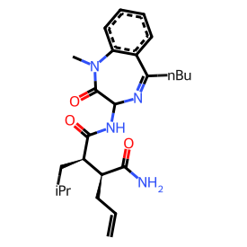 C=CC[C@H](C(N)=O)[C@@H](CC(C)C)C(=O)NC1N=C(CCCC)c2ccccc2N(C)C1=O